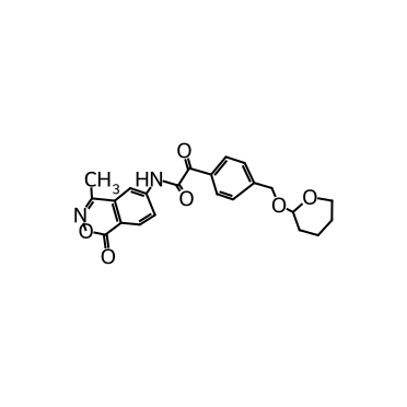 Cc1noc(=O)c2ccc(NC(=O)C(=O)c3ccc(COC4CCCCO4)cc3)cc12